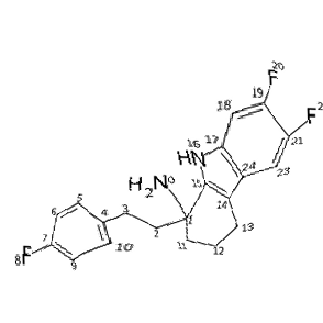 NC1(CCc2ccc(F)cc2)CCCc2c1[nH]c1cc(F)c(F)cc21